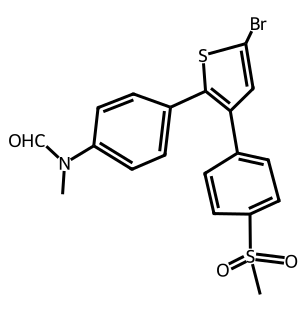 CN(C=O)c1ccc(-c2sc(Br)cc2-c2ccc(S(C)(=O)=O)cc2)cc1